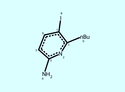 CCCCc1nc(N)ccc1I